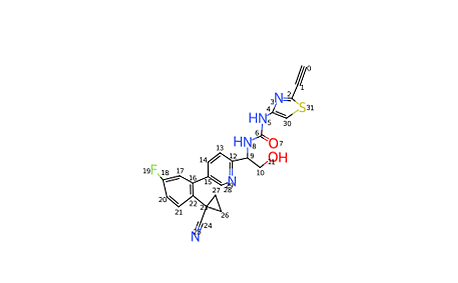 C#Cc1nc(NC(=O)NC(CO)c2ccc(-c3cc(F)ccc3C3(C#N)CC3)cn2)cs1